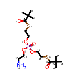 CC(C)(C)C(=O)SCCOP(=O)(OCCN)OCCSC(=O)C(C)(C)C